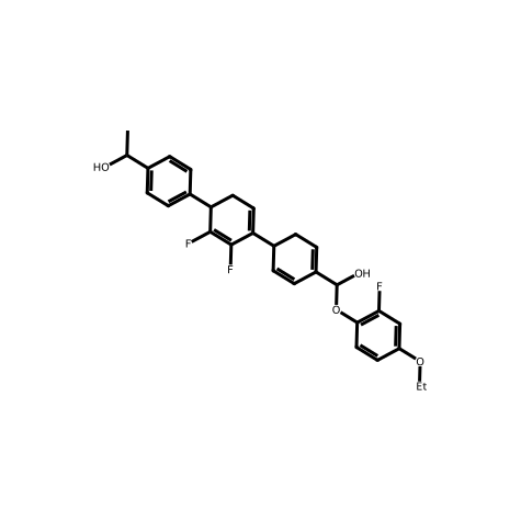 CCOc1ccc(OC(O)C2=CCC(C3=CCC(c4ccc(C(C)O)cc4)C(F)=C3F)C=C2)c(F)c1